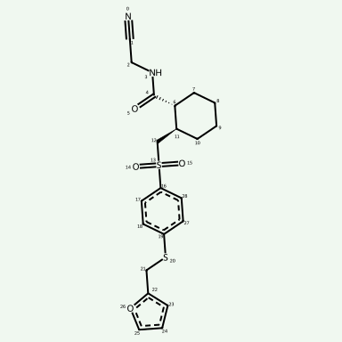 N#CCNC(=O)[C@@H]1CCCC[C@H]1CS(=O)(=O)c1ccc(SCc2ccco2)cc1